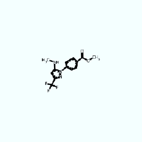 CNc1cc(C(F)(F)F)nn1-c1ccc(C(=O)OC)cc1